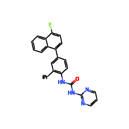 CC(C)c1cc(-c2ccc(F)c3ccccc23)ccc1NC(=O)Nc1ncccn1